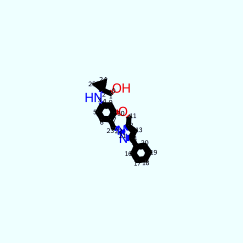 OCC1(Nc2ccc3c(c2)OCc2cc(-c4ccccc4)nn2C3)CC1